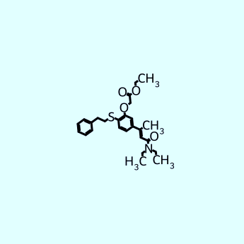 CCOC(=O)COc1cc(/C(C)=C/C(=O)N(CC)CC)ccc1SCCc1ccccc1